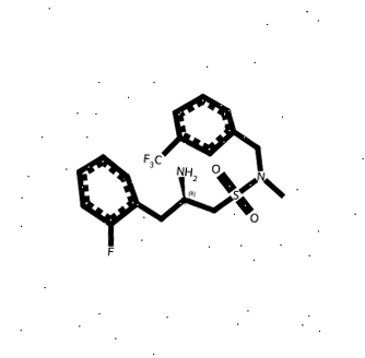 CN(Cc1cccc(C(F)(F)F)c1)S(=O)(=O)C[C@H](N)Cc1ccccc1F